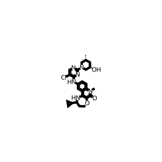 C[C@@H]1C[C@H](O)CN(c2ncc(Cl)c(Nc3ccc4c(c3)c3c(c(=O)n4C)OCCC(C4CC4)N3)n2)C1